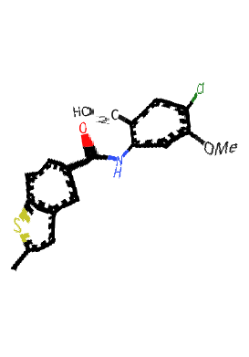 COc1cc(NC(=O)c2ccc3sc(C)cc3c2)c(C(=O)O)cc1Cl